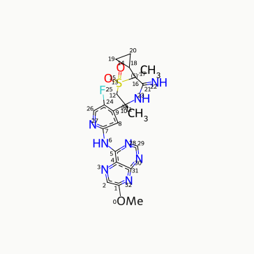 COc1cnc2c(Nc3cc([C@]4(C)CS(=O)(=O)[C@@](C)(C5CC5)C(=N)N4)c(F)cn3)ncnc2n1